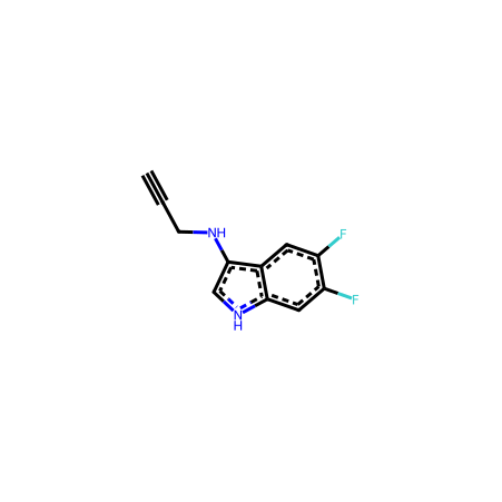 C#CCNc1c[nH]c2cc(F)c(F)cc12